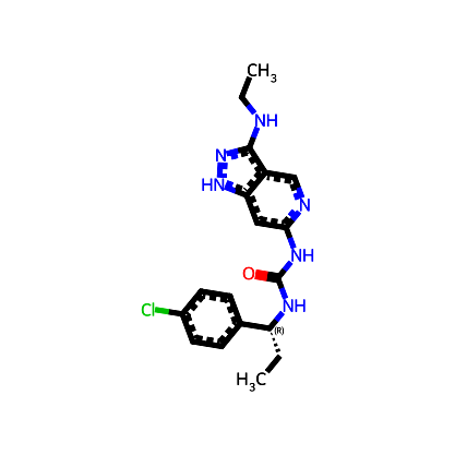 CCNc1n[nH]c2cc(NC(=O)N[C@H](CC)c3ccc(Cl)cc3)ncc12